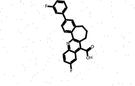 O=C(O)c1c2c(nc3ccc(F)cc13)-c1ccc(-c3cccc(F)c3)cc1CCC2